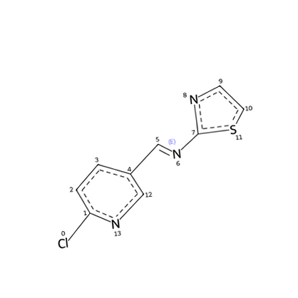 Clc1ccc(/C=N/c2nccs2)cn1